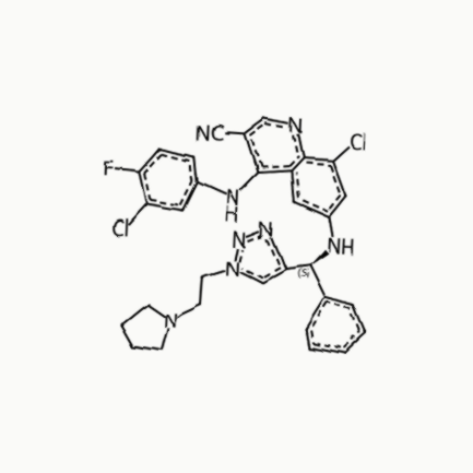 N#Cc1cnc2c(Cl)cc(N[C@@H](c3ccccc3)c3cn(CCN4CCCC4)nn3)cc2c1Nc1ccc(F)c(Cl)c1